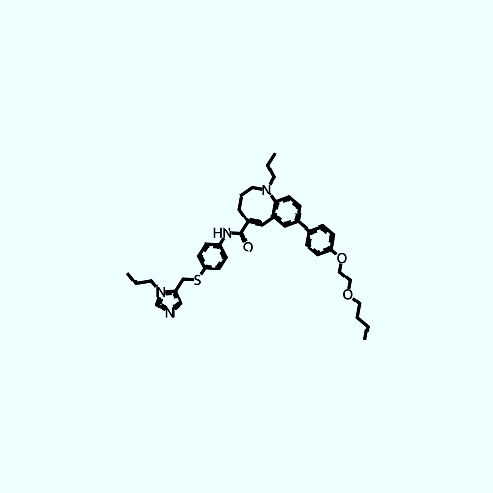 CCCCOCCOc1ccc(-c2ccc3c(c2)C=C(C(=O)Nc2ccc(SCc4cncn4CCC)cc2)CCCN3CCC)cc1